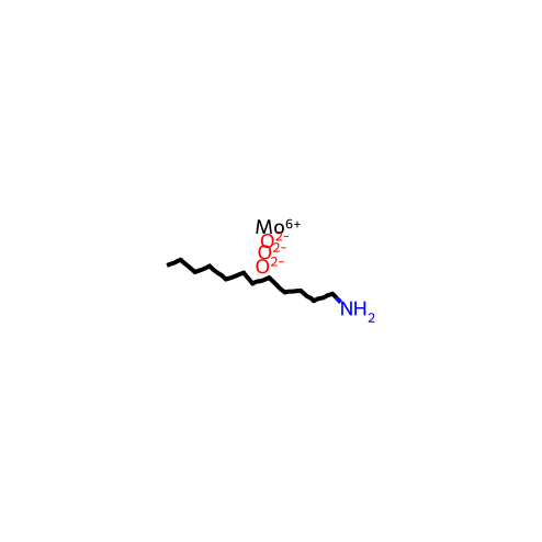 CCCCCCCCCCCCN.[Mo+6].[O-2].[O-2].[O-2]